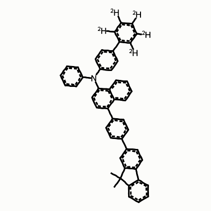 [2H]c1c([2H])c([2H])c(-c2ccc(N(c3ccccc3)c3ccc(-c4ccc(-c5ccc6c(c5)C(C)(C)c5ccccc5-6)cc4)c4ccccc34)cc2)c([2H])c1[2H]